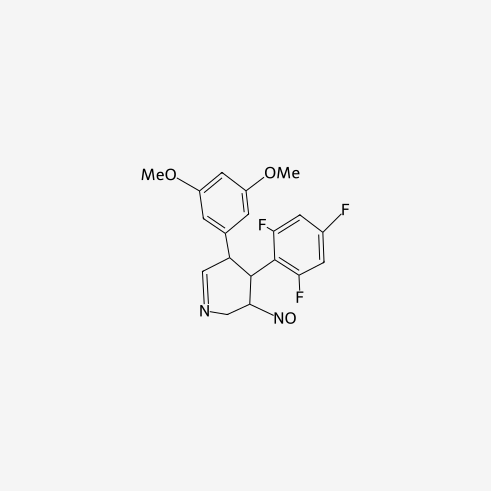 COc1cc(OC)cc(C2C=NCC(N=O)C2c2c(F)cc(F)cc2F)c1